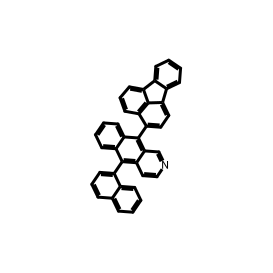 c1ccc2c(c1)-c1cccc3c(-c4c5ccccc5c(-c5cccc6ccccc56)c5ccncc45)ccc-2c13